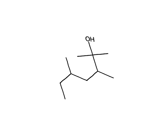 CCC(C)CC(C)C(C)(C)O